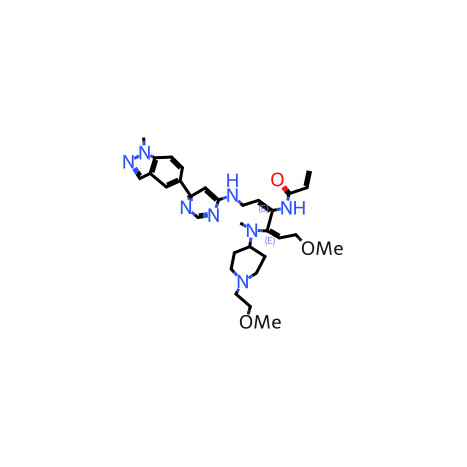 C=CC(=O)NC(=C/CNc1cc(-c2ccc3c(cnn3C)c2)ncn1)/C(=C\COC)N(C)C1CCN(CCOC)CC1